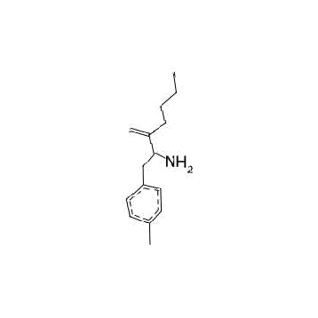 C=C(CCCC)C(N)Cc1ccc(C)cc1